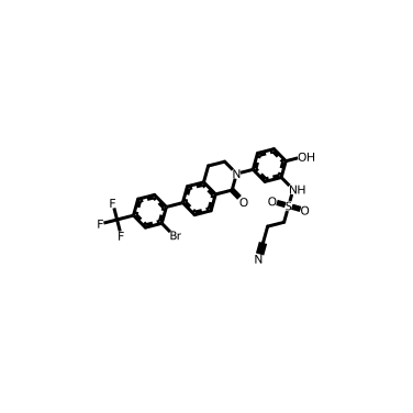 N#CCCS(=O)(=O)Nc1cc(N2CCc3cc(-c4ccc(C(F)(F)F)cc4Br)ccc3C2=O)ccc1O